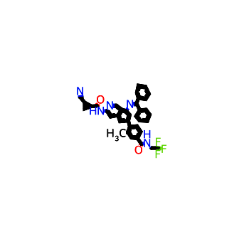 Cc1cc(C(=O)NCC(F)(F)F)ccc1-c1cc(N=C(c2ccccc2)c2ccccc2)c2cnc(NC(=O)C3CC3C#N)cc2c1